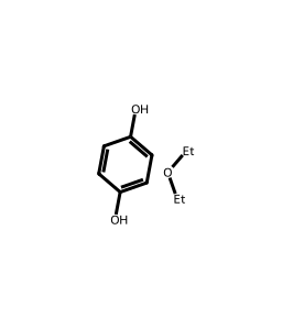 CCOCC.Oc1ccc(O)cc1